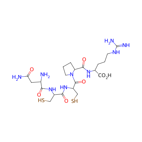 N=C(N)NCCCC(NC(=O)C1CCCN1C(=O)C(CS)NC(=O)C(CS)NC(=O)C(N)CC(N)=O)C(=O)O